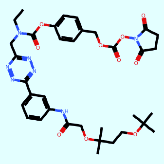 CCN(Cc1nnc(-c2cccc(NC(=O)COC(C)(C)CCOC(C)(C)C)c2)nn1)C(=O)Oc1ccc(COC(=O)ON2C(=O)CCC2=O)cc1